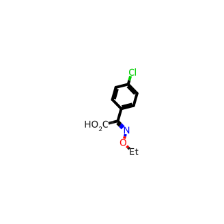 CCON=C(C(=O)O)c1ccc(Cl)cc1